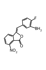 Bc1cc(/C=C2\OC(=O)c3c2cccc3[N+](=O)[O-])ccc1F